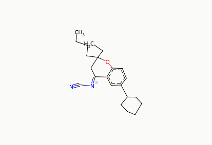 CCCCC1(CC)C/C(=N\C#N)c2cc(C3CCCCC3)ccc2O1